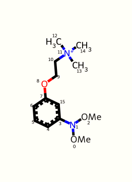 CON(OC)c1cccc(OCC[N+](C)(C)C)c1